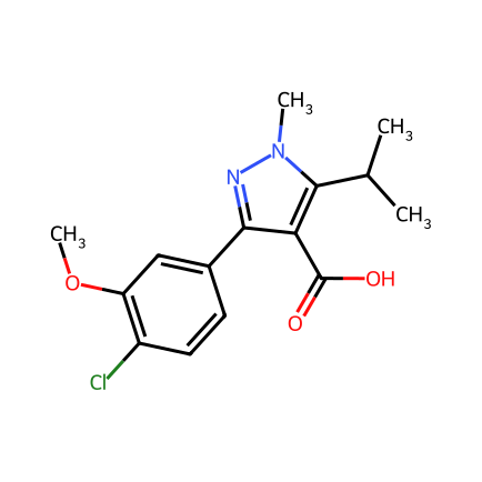 COc1cc(-c2nn(C)c(C(C)C)c2C(=O)O)ccc1Cl